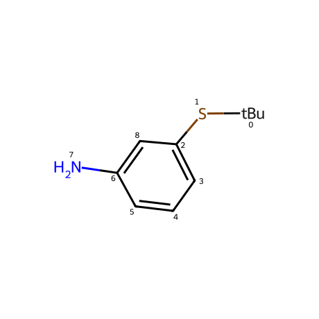 CC(C)(C)Sc1cccc(N)c1